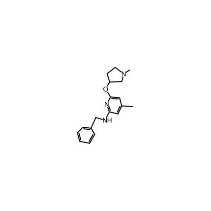 Cc1cc(NCc2ccccc2)nc(OC2CCN(C)C2)c1